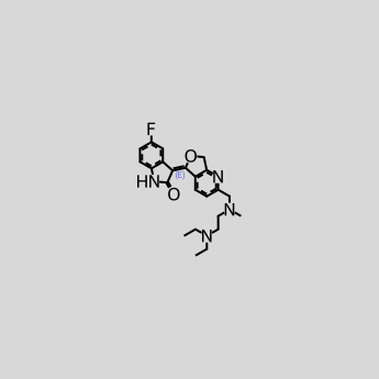 CCN(CC)CCN(C)Cc1ccc2c(n1)CO/C2=C1/C(=O)Nc2ccc(F)cc21